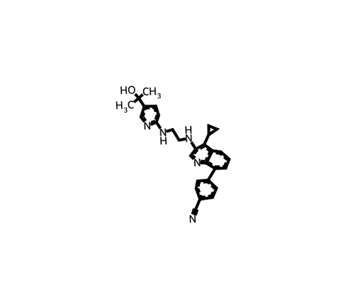 CC(C)(O)c1ccc(NCCNc2cnc3c(-c4ccc(C#N)cc4)cccc3c2C2CC2)nc1